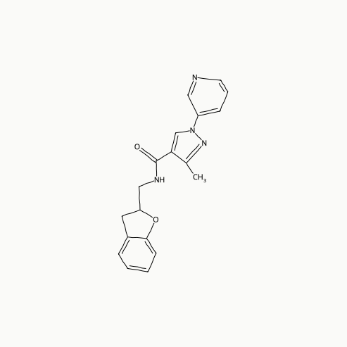 Cc1nn(-c2cccnc2)cc1C(=O)NCC1Cc2ccccc2O1